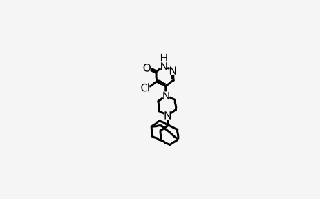 O=c1[nH]ncc(N2CCN(C34CC5CC(CC(C5)C3)C4)CC2)c1Cl